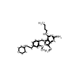 CCCCNc1nc(N)nc2c(OC)nn(Cc3ccc(CNC4CCOCC4)cc3OC)c12